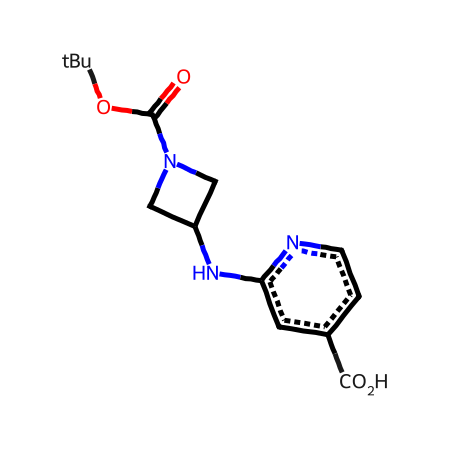 CC(C)(C)OC(=O)N1CC(Nc2cc(C(=O)O)ccn2)C1